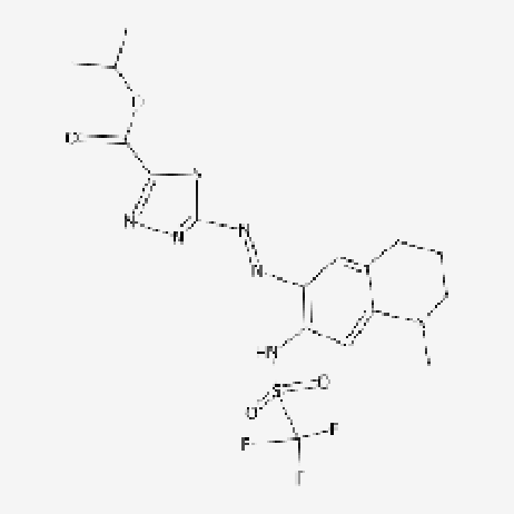 CC(C)OC(=O)c1nnc(N=Nc2cc3c(cc2NS(=O)(=O)C(F)(F)F)N(C)CCC3)s1